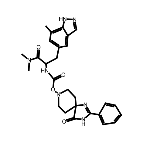 Cc1cc(CC(NC(=O)ON2CCC3(CC2)N=C(c2ccccc2)NC3=O)C(=O)N(C)C)cc2cn[nH]c12